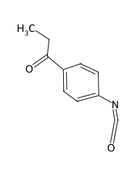 CCC(=O)c1ccc(N=C=O)cc1